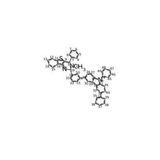 CN1C(c2ccccc2)=c2sc3ccccc3c2=NC1c1cccc(-c2ccc3c(c2)c2cc(-c4ccccc4)ccc2n3-c2ccccc2)c1